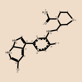 NC(=O)N1CCOCC1CNc1nc(C2=CNC3NC=C(Cl)C=C23)ncc1F